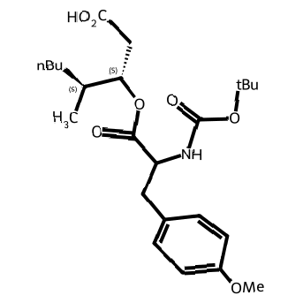 CCCC[C@H](C)[C@H](CC(=O)O)OC(=O)C(Cc1ccc(OC)cc1)NC(=O)OC(C)(C)C